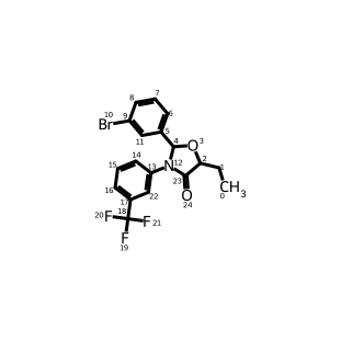 CCC1OC(c2cccc(Br)c2)N(c2cccc(C(F)(F)F)c2)C1=O